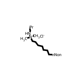 CCCCCCCCCCCCCCCC[N+](C)(C)NCC(C)C.[Cl-]